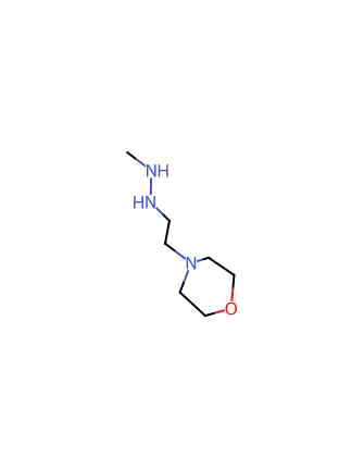 CNNCCN1CCOCC1